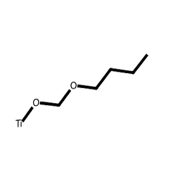 CCCCOC[O][Ti]